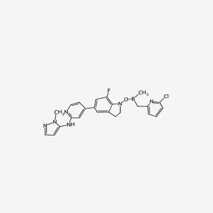 CB(Cc1cccc(Cl)n1)ON1CCc2cc(-c3ccnc(Nc4ccnn4C)c3)cc(F)c21